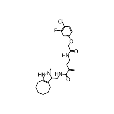 C=C(CCNC(=O)COc1ccc(Cl)c(F)c1)C(=O)NCC1C2=C(CCCCCC2)NN1C